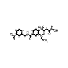 CCN1CC(CC(=O)NO)S(=O)(=O)c2ccc(C(=O)NCc3cccc([N+](=O)[O-])c3)cc21